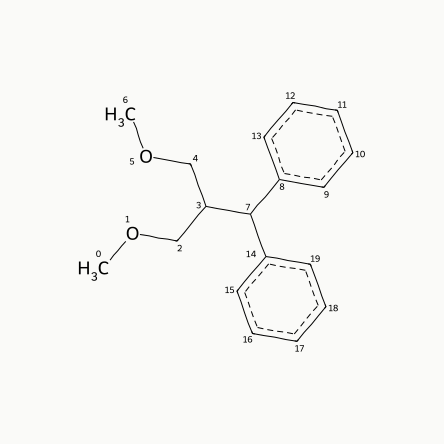 COCC(COC)C(c1ccccc1)c1ccccc1